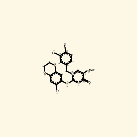 CCc1cc2c(cc1Nc1nc(=O)c(OC)cn1Cc1ccc(F)c(Cl)c1)OCCO2